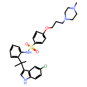 CN1CCN(CCCOc2ccc(S(=O)(=O)Nc3ccccc3C(C)(C)c3c[nH]c4ccc(Cl)cc34)cc2)CC1